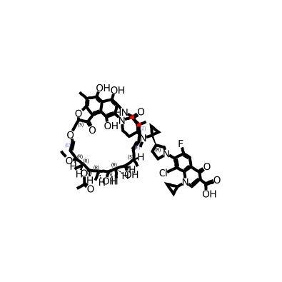 CO[C@H]1/C=C/O[C@@]2(C)Oc3c(C)c(O)c4c(O)c(c(N5CCC(N(C)C6([C@@H]7CCN(c8c(F)cc9c(=O)c(C(=O)O)cn(C%10CC%10)c9c8Cl)C7)CC6)CC5)c(O)c4c3C2=O)NC(=O)/C(C)=C\C=C\[C@H](C)[C@H](O)[C@@H](C)[C@@H](O)[C@@H](C)[C@H](OC(C)=O)[C@@H]1C